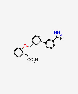 CCC(N)c1cccc(-c2cccc(COc3ccccc3CC(=O)O)c2)c1